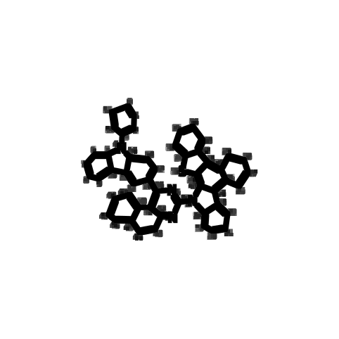 c1ccc(-n2c3ccccc3c3cc(-c4nc(-n5c6ccccc6c6c7ccccc7c7c8ccccc8sc7c65)nc5ccc6ccccc6c45)ccc32)cc1